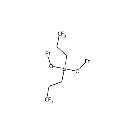 CCO[Si](CCC(F)(F)F)(CCC(F)(F)F)OCC